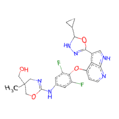 CC1(CO)CN=C(Nc2cc(F)c(Oc3ccnc4[nH]cc(C5=NNC(C6CC6)O5)c34)c(F)c2)OC1